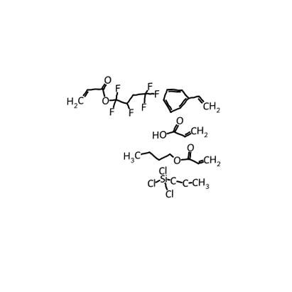 C=CC(=O)O.C=CC(=O)OC(F)(F)C(F)CC(F)(F)F.C=CC(=O)OCCCC.C=Cc1ccccc1.CCC[Si](Cl)(Cl)Cl